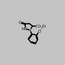 CCOC(=O)C1CC(=O)NN1c1ccccc1Cl